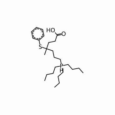 CCCC[PH](CCCC)(CCCC)CCCC(C)(CCC(=O)O)Sc1ccccc1